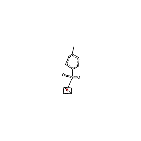 Cc1ccc(S(=O)(=O)N2CC3CC2C3)cc1